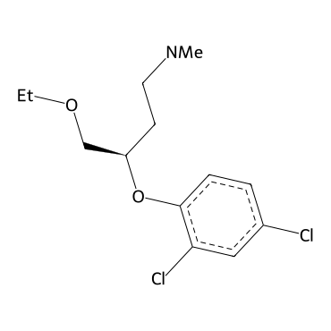 CCOC[C@@H](CCNC)Oc1ccc(Cl)cc1Cl